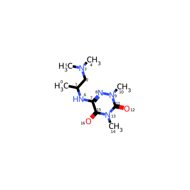 CC(CN(C)C)Nc1nn(C)c(=O)n(C)c1=O